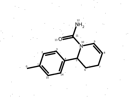 Cc1ccc(C2CCC=CN2C(N)=O)cc1